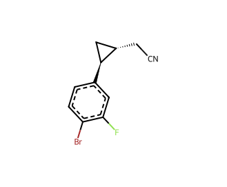 N#CC[C@H]1C[C@@H]1c1ccc(Br)c(F)c1